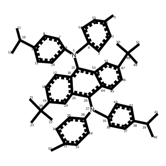 Cc1ccc(N(c2ccc(C(C)C)cc2)c2c3ccc(C(C)(C)C)cc3c(N(c3ccc(C)cc3)c3ccc(C(C)C)cc3)c3ccc(C(C)(C)C)cc23)cc1